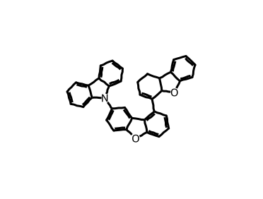 C1=C(c2cccc3oc4ccc(-n5c6ccccc6c6ccccc65)cc4c23)C2Oc3ccccc3C2CC1